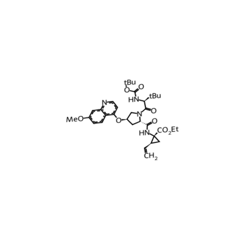 C=C[C@@H]1C[C@]1(NC(=O)[C@@H]1C[C@@H](Oc2ccnc3cc(OC)ccc23)CN1C(=O)[C@@H](NC(=O)OC(C)(C)C)C(C)(C)C)C(=O)OCC